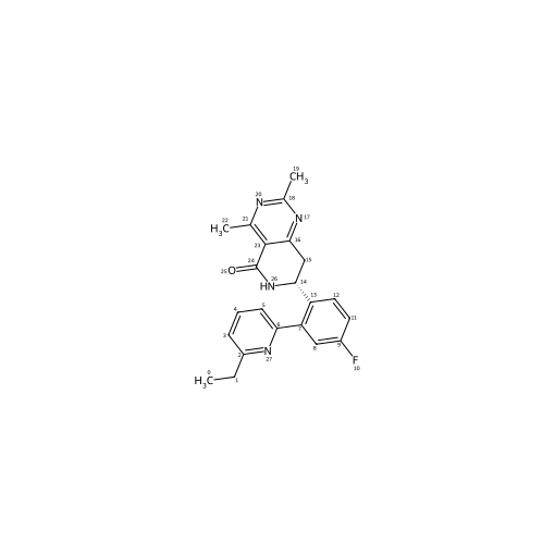 CCc1cccc(-c2cc(F)ccc2[C@H]2Cc3nc(C)nc(C)c3C(=O)N2)n1